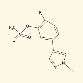 Cn1cc(-c2ccc(F)c(OS(=O)(=O)C(F)(F)F)c2)cn1